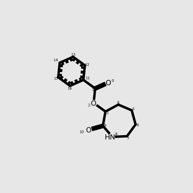 O=C(OC1CCCCNC1=O)c1ccccc1